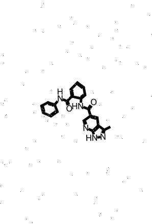 Cc1n[nH]c2ncc(C(=O)Nc3ccccc3C(=O)Nc3ccccc3)cc12